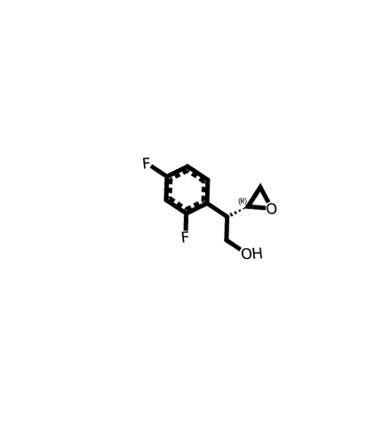 OCC(c1ccc(F)cc1F)[C@@H]1CO1